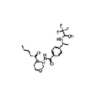 CCCCC(=O)N1CCOC[C@H]1NC(=O)c1ccc(C(C)NC(O)C(F)(F)F)cc1